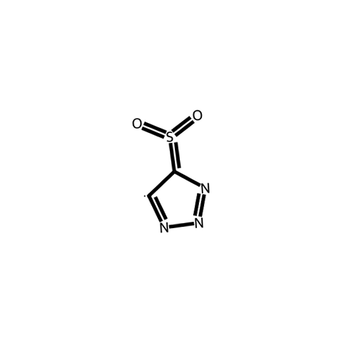 O=S(=O)=C1[C]=NN=N1